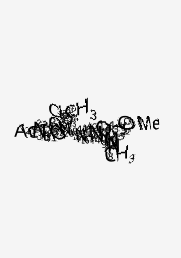 COc1ccc(-n2nc(C)cc2C(=O)N2CC3CN(CCCN(C(=O)OC4CCN(C(C)=O)CC4)c4ccc(C)c(Cl)c4)CC3C2)cc1